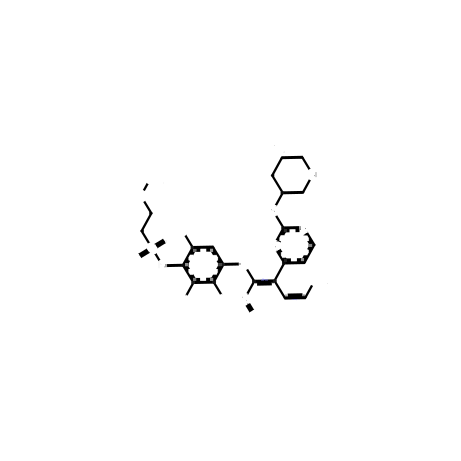 C=N/C(Oc1cc(F)c(NS(=O)(=O)CCOC)c(F)c1F)=C(\C=C/C)c1ccnc(NC2CNC[C@@H](F)C2)n1